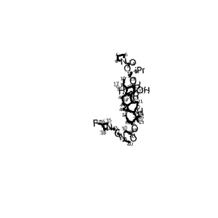 CC(C)[C@@H](OC(=O)N1CCC1)[C@H]1C[C@@H](C)[C@H]2[C@H](O1)[C@H](O)[C@@]1(C)[C@@H]3CC[C@H]4C(C)(C)C(O[C@H]5CN(CCN6CC(F)C6)CCO5)CC[C@@]45C[C@@]35CC[C@]21C